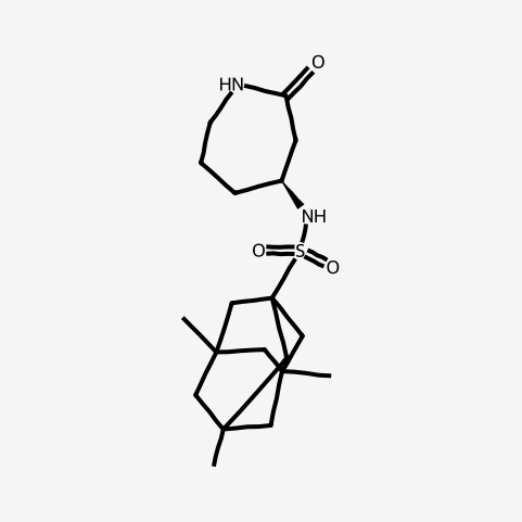 CC12CC3(C)CC(C)(C1)CC(S(=O)(=O)N[C@H]1CCCNC(=O)C1)(C2)C3